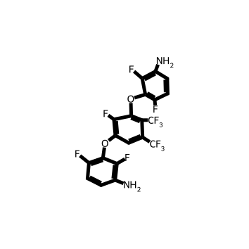 Nc1ccc(F)c(Oc2cc(C(F)(F)F)c(C(F)(F)F)c(Oc3c(F)ccc(N)c3F)c2F)c1F